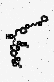 COC(=O)c1ccc(SC(CC[C@H](O)C/C=C\c2cccc(OCCCCOc3ccccc3)c2)C(=O)OC)cc1